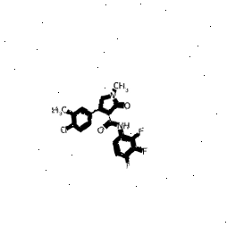 Cc1cc([C@H]2CN(C)C(=O)[C@@H]2C(=O)Nc2ccc(F)c(F)c2F)ccc1Cl